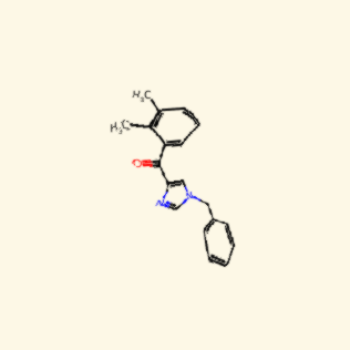 Cc1cccc(C(=O)c2cn(Cc3ccccc3)cn2)c1C